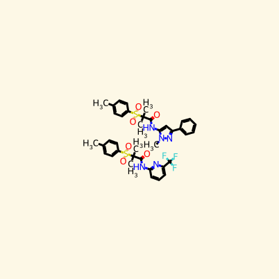 Cc1ccc(S(=O)(=O)C(C)(C)C(=O)Nc2cc(-c3ccccc3)nn2C)cc1.Cc1ccc(S(=O)(=O)C(C)(C)C(=O)Nc2cccc(C(F)(F)F)n2)cc1